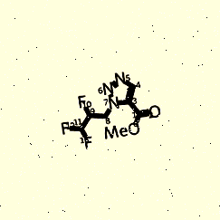 COC(=O)c1cnnn1CC(F)C(F)F